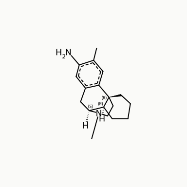 Cc1cc2c(cc1N)C[C@H]1[C@@H]3CCCC[C@]23CCN1C